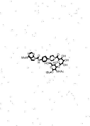 CNc1ncnc2c1ccn2C(=O)Nc1ccc(N2CCN(C(=O)C3OC(OC4C(O)C(CO)OC(OC(C)(C)C)C4NC(C)=O)C(O)C(O)C3O)CC2)cc1